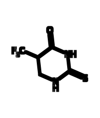 O=C1NC(=S)NCC1C(F)(F)F